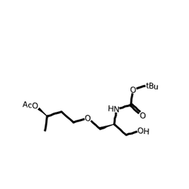 CC(=O)O[C@H](C)CCOC[C@H](CO)NC(=O)OC(C)(C)C